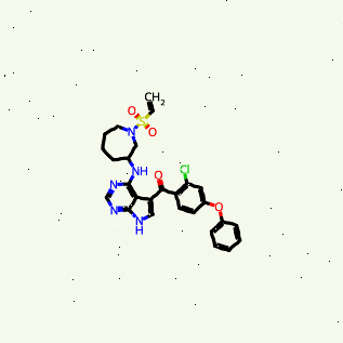 C=CS(=O)(=O)N1CCCCC(Nc2ncnc3[nH]cc(C(=O)c4ccc(Oc5ccccc5)cc4Cl)c23)C1